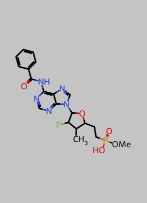 COP(=O)(O)CCC1OC(n2cnc3c(NC(=O)c4ccccc4)ncnc32)C(F)C1C